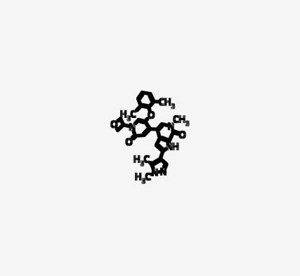 Cc1cccc(C)c1Oc1cn(C2COC2)c(=O)cc1-c1cn(C)c(=O)c2[nH]c(-c3cnn(C)c3C)cc12